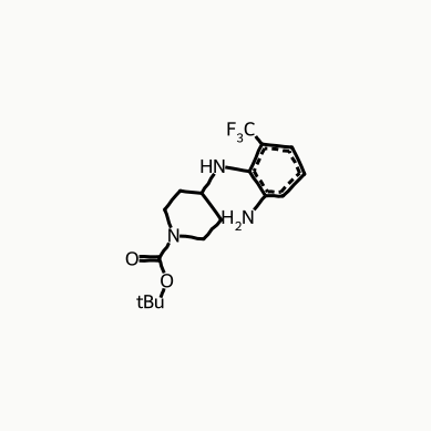 CC(C)(C)OC(=O)N1CCC(Nc2c(N)cccc2C(F)(F)F)CC1